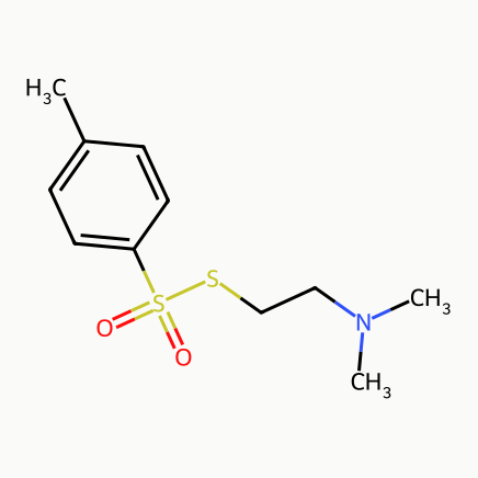 Cc1ccc(S(=O)(=O)SCCN(C)C)cc1